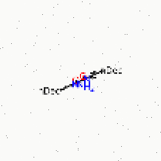 CCCCCCCCCCCCCCCCCCNC(=O)CC[C@@H](N)C(=O)NCCCCCCCCCCCCCCCCCC